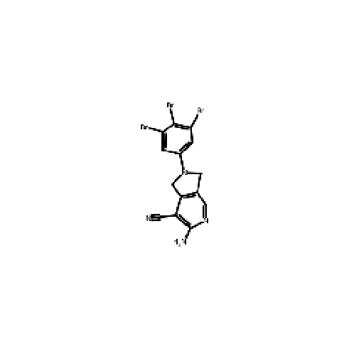 N#Cc1c(N)ncc2c1CN(c1cc(Br)c(Br)c(Br)c1)C2